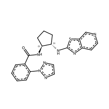 O=C(N[C@H]1CCC[C@@H]1Nc1nc2ccncc2s1)c1ccccc1-n1nccn1